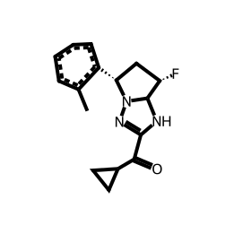 Cc1ccccc1[C@@H]1C[C@H](F)C2NC(C(=O)C3CC3)=NN21